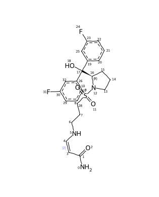 NC(=O)/C=C\NCCCS(=O)(=O)N1CCC[C@@H]1C(O)(c1cccc(F)c1)c1cccc(F)c1